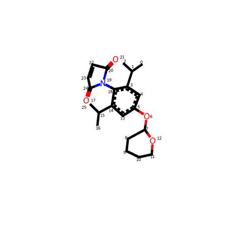 CC(C)c1cc(OC2CCCCO2)cc(C(C)C)c1N1C(=O)C=CC1=O